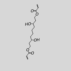 C=CC(=O)OCCC(O)CCCCC(O)CCOC(=O)C=C